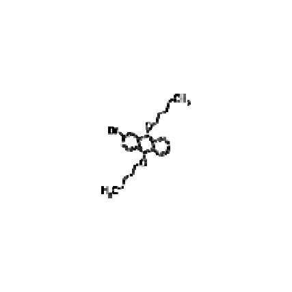 CCCCCOc1c2ccccc2c(OCCCCC)c2cc(Br)ccc12